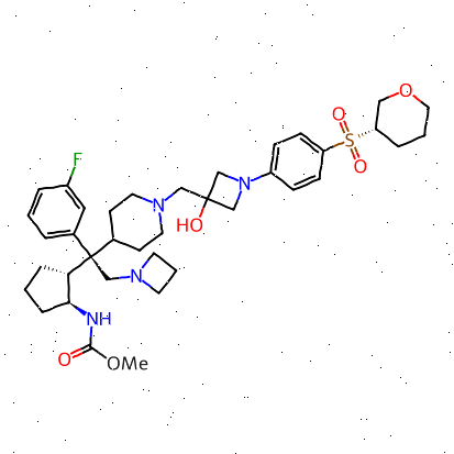 COC(=O)N[C@H]1CCC[C@@H]1[C@](CN1CCC1)(c1cccc(F)c1)C1CCN(CC2(O)CN(c3ccc(S(=O)(=O)[C@H]4CCCOC4)cc3)C2)CC1